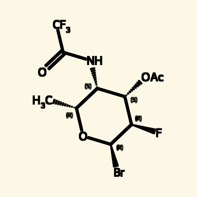 CC(=O)O[C@@H]1[C@@H](F)[C@@H](Br)O[C@H](C)[C@@H]1NC(=O)C(F)(F)F